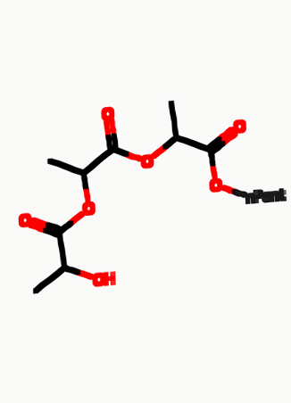 CCCCCOC(=O)C(C)OC(=O)C(C)OC(=O)C(C)O